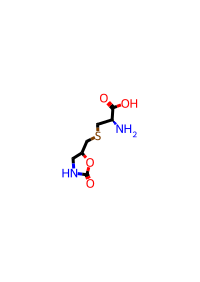 N[C@@H](CSCC1CNC(=O)O1)C(=O)O